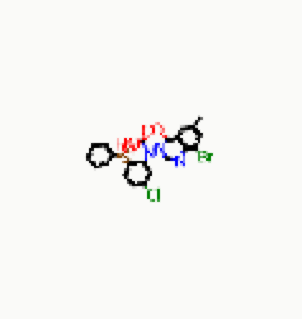 Cc1cc(Br)c2ncn(N(C(=O)O)c3cc(Cl)ccc3[S+]([O-])c3ccccc3)c(=O)c2c1